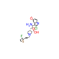 COc1ccc2ncc(Cl)c([C@@H](N)CC[C@H]3CCN(CC#Cc4sccc4F)C[C@H]3C(=O)O)c2c1